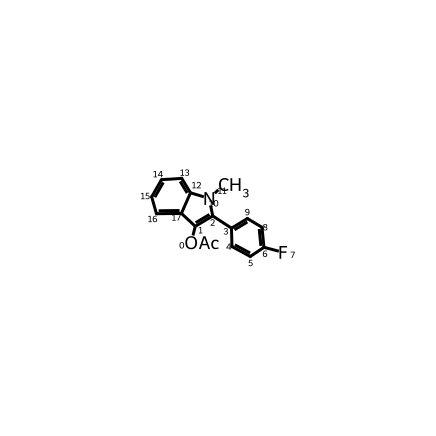 CC(=O)Oc1c(-c2ccc(F)cc2)n(C)c2ccccc12